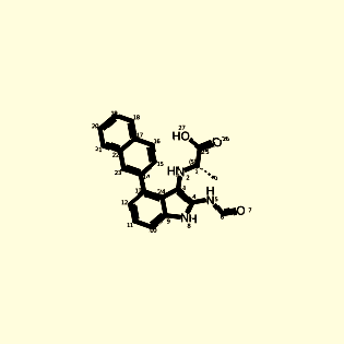 C[C@H](Nc1c(NC=O)[nH]c2cccc(-c3ccc4ccccc4c3)c12)C(=O)O